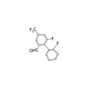 O=Cc1cc(C(F)(F)F)cc(F)c1-c1ccccc1F